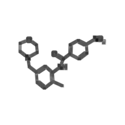 Cc1ccc(CN2CCOCC2)cc1NC(=O)c1ccc([N+](=O)[O-])cc1